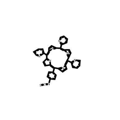 S=C=Nc1ccc(C2=C3C=CC(=N3)C(c3ccccn3)=C3C=CC(=N3)C(c3ccccn3)=C3C=CC(=N3)C(c3ccccn3)=C3C=CC2=N3)cc1